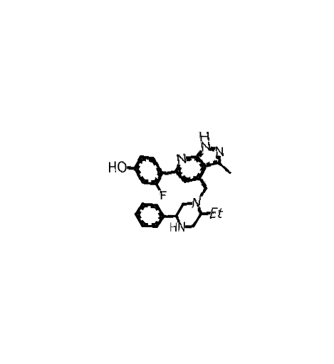 CCC1CNC(c2ccccc2)CN1Cc1cc(-c2ccc(O)cc2F)nc2[nH]nc(C)c12